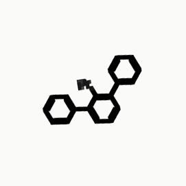 CC(C)c1c(-c2ccccc2)cccc1-c1ccccc1